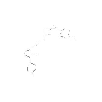 Cc1ccc(-c2nnc(SCCCN3CCC4(CC4c4ccc(C(F)(F)F)cc4)C3)n2C)cc1